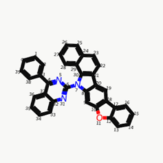 c1ccc(-c2nc(-n3c4cc5oc6ccccc6c5cc4c4ccc5ccccc5c43)nc3ccccc23)cc1